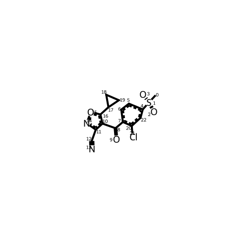 CS(=O)(=O)c1ccc(C(=O)c2c(C#N)noc2C2CC2)c(Cl)c1